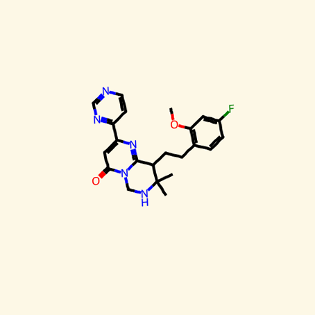 COc1cc(F)ccc1CCC1c2nc(-c3ccncn3)cc(=O)n2CNC1(C)C